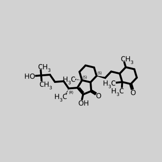 CC1CCC(=O)C(C)(C)C1CC[C@@H]1CCC[C@]2(C)C([C@H](C)CCCC(C)(C)O)=C(O)C(=O)C12